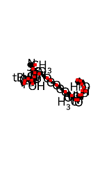 Cc1ncsc1-c1ccc(CNC(=O)[C@@H]2C[C@@H](O)CN2C(=O)[C@@H](NC(=O)C2(F)CC2)C(C)(C)C)c(OCC(=O)NCCOCCOCCOCCOCCOCCC(=O)NCCN(C)C(=O)c2ccc(-c3cc(C(=O)N[C@@H]4CCc5ccccc54)no3)cc2O)c1